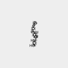 Cc1c(NC(=O)c2ccc(OC[C@H]3CCCO3)cc2)ccc2cc(CNC3CCC(C)(O)CC3)cnc12